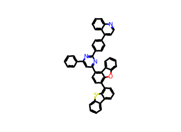 c1ccc(-c2cc(-c3ccc(-c4cccc5c4sc4ccccc45)c4oc5ccccc5c34)nc(-c3ccc(-c4ccnc5ccccc45)cc3)n2)cc1